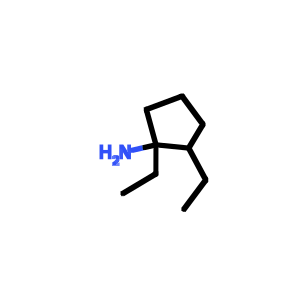 CCC1CCCC1(N)CC